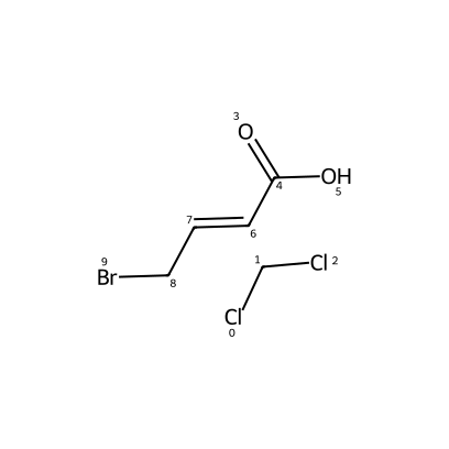 ClCCl.O=C(O)/C=C/CBr